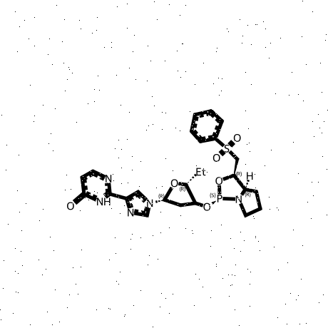 CC[C@H]1O[C@@H](n2cnc(-c3nccc(=O)[nH]3)c2)CC1O[P@]1O[C@@H](CS(=O)(=O)c2ccccc2)[C@H]2CCCN21